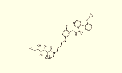 CC(=O)NCN(CCCCSc1ccc(Cl)c(CNC2(c3cnccc3-c3ccccc3OC3CC3)CC2)c1)C(=O)[C@@H](O)[C@@H](O)[C@H](O)[C@@H](O)CO